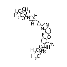 CCN(C)S(=O)(=O)Nc1ccc(F)c(Oc2ccc3ncc(OCC4[C@H]5CN(C(=O)OC(C)(C)C)C[C@@H]45)nc3c2)c1C#N